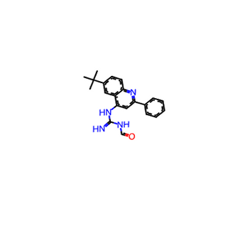 CC(C)(C)c1ccc2nc(-c3ccccc3)cc(NC(=N)NC=O)c2c1